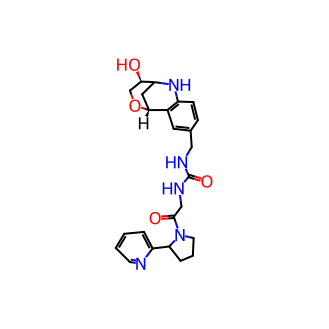 O=C(NCC(=O)N1CCCC1c1ccccn1)NCc1ccc2c(c1)[C@H]1CC(N2)[C@H](O)CO1